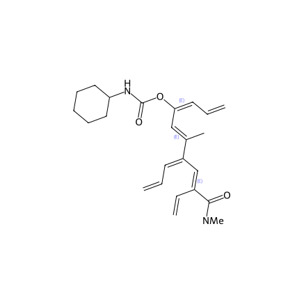 C=CC=C(/C=C(\C=C)C(=O)NC)/C(C)=C/C(=C\C=C)OC(=O)NC1CCCCC1